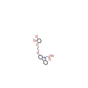 COc1cccc(OCCCOc2ccc3c4ccccc4n(CC(=O)O)c3c2)c1OC